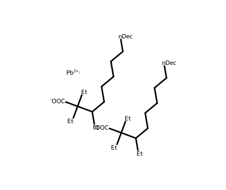 CCCCCCCCCCCCCCCC(CC)C(CC)(CC)C(=O)[O-].CCCCCCCCCCCCCCCC(CC)C(CC)(CC)C(=O)[O-].[Pb+2]